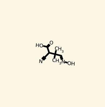 CC(C)(C=NO)C(C#N)C(=O)O